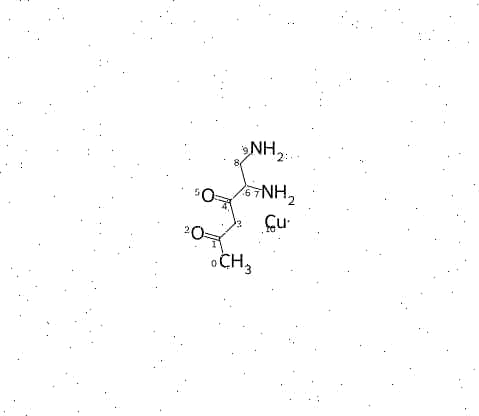 CC(=O)CC(=O)C(N)CN.[Cu]